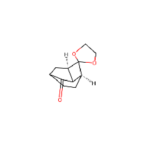 O=C1C2CC[C@H]3C1[C@@H](C2)C31OCCO1